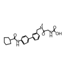 CN(Cc1cccc(-c2ccc(NC(=O)C3CCCCC3)cc2)c1)C(=O)CNC(=O)O